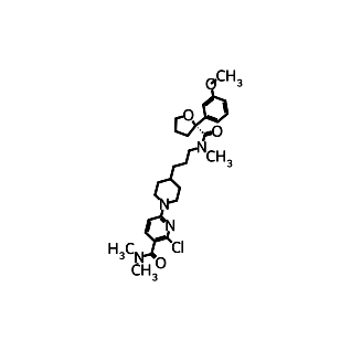 COc1cccc([C@@]2(C(=O)N(C)CCCC3CCN(c4ccc(C(=O)N(C)C)c(Cl)n4)CC3)CCCO2)c1